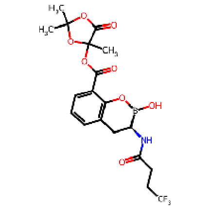 CC1(C)OC(=O)C(C)(OC(=O)c2cccc3c2OB(O)[C@@H](NC(=O)CCC(F)(F)F)C3)O1